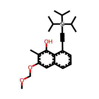 COCOc1cc2cccc(C#C[Si](C(C)C)(C(C)C)C(C)C)c2c(O)c1C